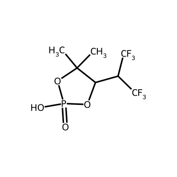 CC1(C)OP(=O)(O)OC1C(C(F)(F)F)C(F)(F)F